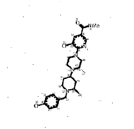 CNC(=O)c1cnc(N2CCN(C3CCN(Cc4ccc(Cl)cc4)C(C)C3)[C@@H](C)C2)c(Cl)c1